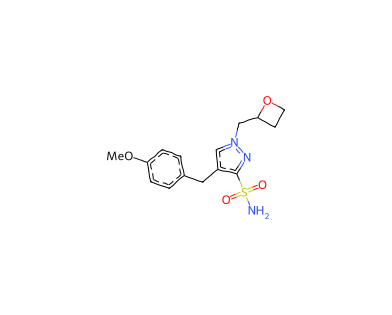 COc1ccc(Cc2cn(CC3CCO3)nc2S(N)(=O)=O)cc1